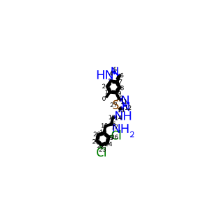 Cc1cc2[nH]ncc2cc1-c1nnc(NC[C@H](N)Cc2ccc(Cl)cc2Cl)s1